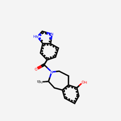 CC(C)(C)C1Cc2cccc(O)c2CCN1C(=O)c1ccc2nc[nH]c2c1